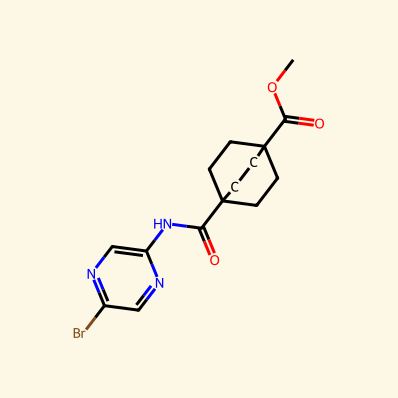 COC(=O)C12CCC(C(=O)Nc3cnc(Br)cn3)(CC1)CC2